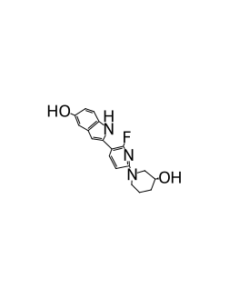 Oc1ccc2[nH]c(-c3ccc(N4CCC[C@H](O)C4)nc3F)cc2c1